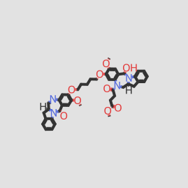 COC(=O)CCC(=O)N1C[C@@H]2Cc3ccccc3N2C(O)c2cc(OC)c(OCCCCCOc3cc4c(cc3OC)C(=O)N3c5ccccc5C[C@H]3C=N4)cc21